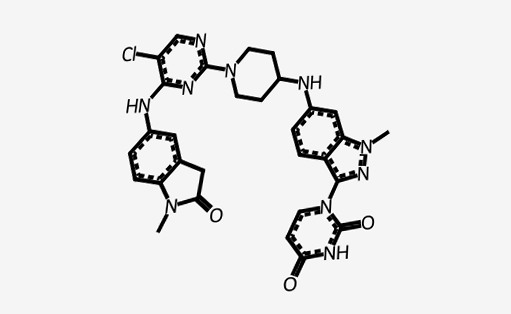 CN1C(=O)Cc2cc(Nc3nc(N4CCC(Nc5ccc6c(-n7ccc(=O)[nH]c7=O)nn(C)c6c5)CC4)ncc3Cl)ccc21